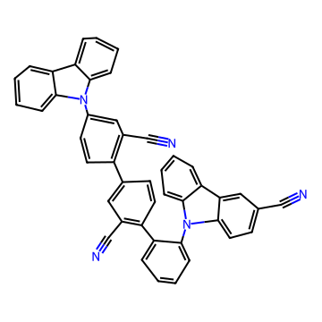 N#Cc1ccc2c(c1)c1ccccc1n2-c1ccccc1-c1ccc(-c2ccc(-n3c4ccccc4c4ccccc43)cc2C#N)cc1C#N